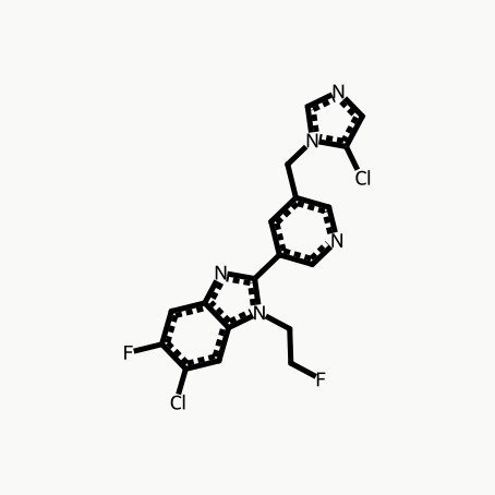 FCCn1c(-c2cncc(Cn3cncc3Cl)c2)nc2cc(F)c(Cl)cc21